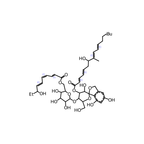 CCC(O)/C=C/C=C\C=C\C(=O)OCC1OC(OC2C(CO)OC3(OCc4cc(O)cc(O)c43)C(O)C2OC(=O)/C=C/C=C/CC(O)/C(C)=C/C=C/CCC(C)CC)C(O)C(O)C1O